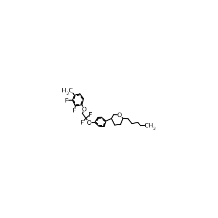 CCCCCC1CCC(c2ccc(OC(F)(F)COc3ccc(C)c(F)c3F)cc2)CO1